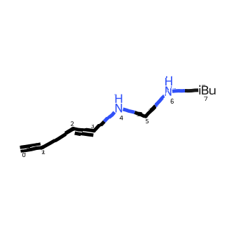 C=C/C=C/NCNC(C)CC